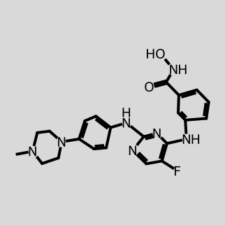 CN1CCN(c2ccc(Nc3ncc(F)c(Nc4cccc(C(=O)NO)c4)n3)cc2)CC1